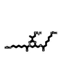 CCCCCCCCCCCCCCCC(=O)OCC(COC(=O)CCCCCCCCCCCCCCC)OC(=O)C(C)CC(=O)O